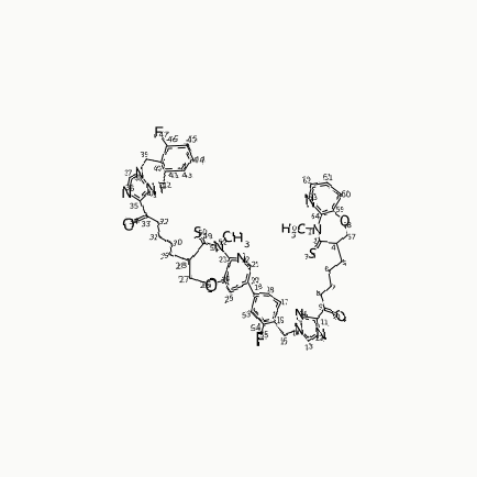 CN1C(=S)C(CCCCC(=O)c2ncn(Cc3ccc(-c4cnc5c(c4)OCC(CCCCC(=O)c4ncn(Cc6c(F)cccc6F)n4)C(=S)N5C)cc3F)n2)COc2cccnc21